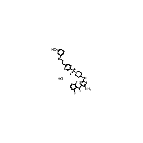 Cl.Nc1nc(NC2CCN(S(=O)(=O)c3ccc(CCNc4cccc(O)c4)nc3)CC2)sc1C(=O)c1c(F)cccc1F